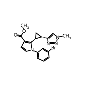 COC(=O)c1ccn(-c2cccc(Br)c2)c1[C@H]1C[C@@H]1c1cn(C)nn1